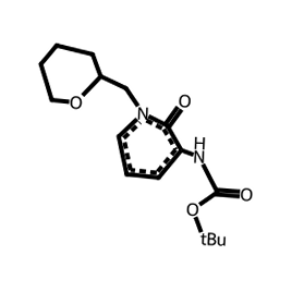 CC(C)(C)OC(=O)Nc1cccn(CC2CCCCO2)c1=O